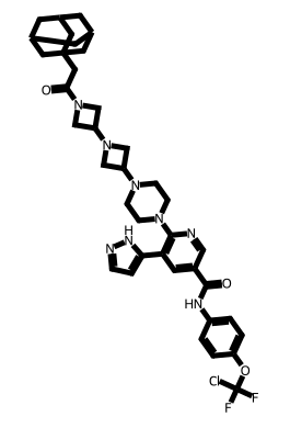 O=C(Nc1ccc(OC(F)(F)Cl)cc1)c1cnc(N2CCN(C3CN(C4CN(C(=O)CC56CC7CC(CC(C7)C5)C6)C4)C3)CC2)c(-c2ccn[nH]2)c1